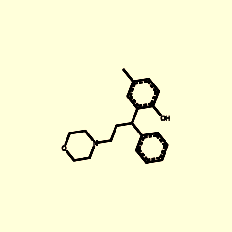 Cc1ccc(O)c(C(CCN2CCOCC2)c2ccccc2)c1